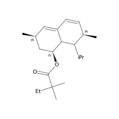 CCC(C)(C)C(=O)O[C@H]1C[C@@H](C)C=C2C=C[C@@H](C)C(C(C)C)C21